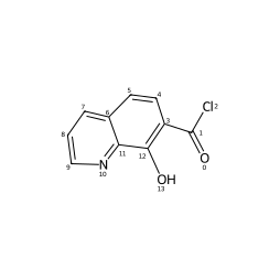 O=C(Cl)c1ccc2cccnc2c1O